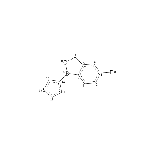 Fc1ccc2c(c1)COB2c1ccsc1